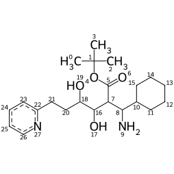 CC(C)(C)OC(=O)C(C(N)C1CCCCC1)C(O)C(O)CCc1ccccn1